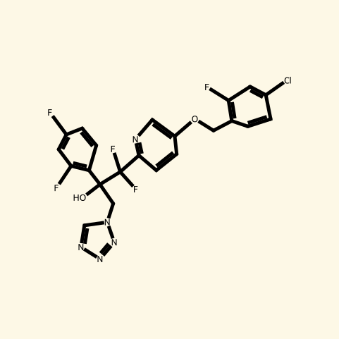 OC(Cn1cnnn1)(c1ccc(F)cc1F)C(F)(F)c1ccc(OCc2ccc(Cl)cc2F)cn1